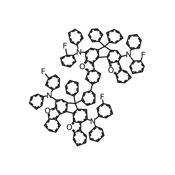 Fc1cccc(N(c2ccccc2)c2cc3c(c4c2oc2ccccc24)-c2c(cc(N(c4ccccc4)c4cccc(F)c4)c4c2oc2ccccc24)C3(c2ccccc2)c2cccc(-c3ccc4c(c3)oc3c(N(c5ccccc5)c5ccccc5F)cc5c(c34)-c3c(cc(N(c4ccccc4)c4ccccc4F)c4c3oc3ccccc34)C5(c3ccccc3)c3ccccc3)c2)c1